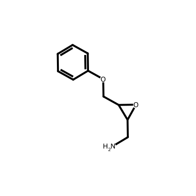 NCC1OC1COc1ccccc1